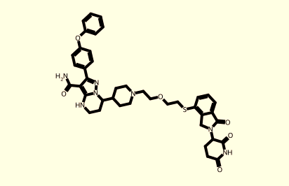 NC(=O)c1c(-c2ccc(Oc3ccccc3)cc2)nn2c1NCCC2C1CCN(CCOCCSc2cccc3c2CN(C2CCC(=O)NC2=O)C3=O)CC1